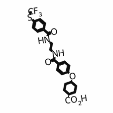 O=C(NCCNC(=O)c1ccc(SC(F)(F)F)cc1)c1ccc(O[C@H]2CC[C@@H](C(=O)O)CC2)cc1